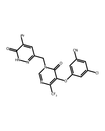 CC(C)c1cc(Cn2cnc(C(F)(F)F)c(Oc3cc(Cl)cc(C#N)c3)c2=O)n[nH]c1=O